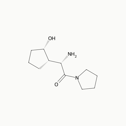 N[C@H](C(=O)N1CCCC1)[C@@H]1CCC[C@@H]1O